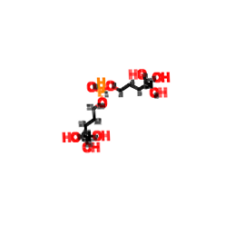 O=[PH](OCCC[Si](O)(O)O)OCCC[Si](O)(O)O